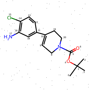 CC(C)(C)OC(=O)N1CC=C(c2ccc(Cl)c(N)c2)CC1